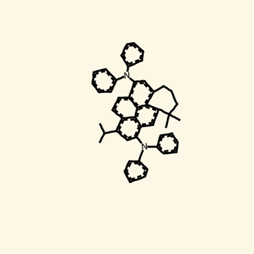 CC(C)c1cc(N(c2ccccc2)c2ccccc2)c2cc3c4c(cc(N(c5ccccc5)c5ccccc5)c5ccc1c2c54)CCCC3(C)C